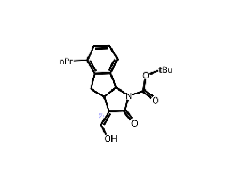 CCCc1cccc2c1CC1/C(=C/O)C(=O)N(C(=O)OC(C)(C)C)C21